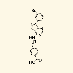 O=C(O)c1ccc(/C=N/Nc2ncnc3c2cnn3-c2cccc(Br)c2)cc1